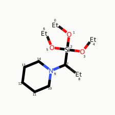 CCO[Si](OCC)(OCC)C(CC)N1CCCCC1